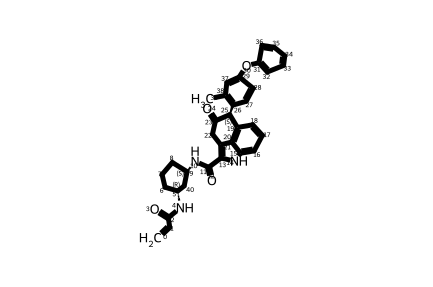 C=CC(=O)N[C@@H]1CCC[C@H](NC(=O)c2[nH]c3cccc4c3c2CC(=O)[C@H]4c2ccc(Oc3ccccc3)cc2C)C1